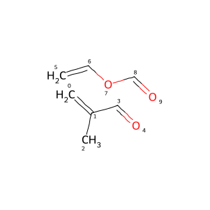 C=C(C)C=O.C=COC=O